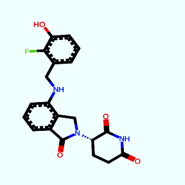 O=C1CC[C@H](N2Cc3c(NCc4cccc(O)c4F)cccc3C2=O)C(=O)N1